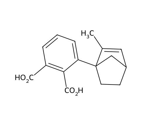 CC1=CC2CCC1(c1cccc(C(=O)O)c1C(=O)O)C2